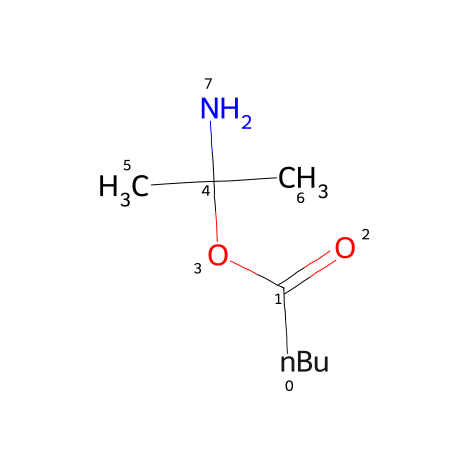 CCCCC(=O)OC(C)(C)N